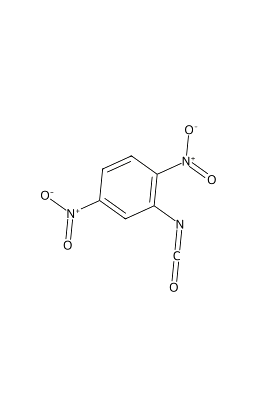 O=C=Nc1cc([N+](=O)[O-])ccc1[N+](=O)[O-]